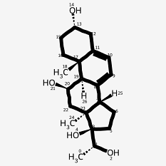 C[C@@H](O)[C@@]1(O)CC[C@H]2C3=CC=C4C[C@@H](O)CC[C@@]4(C)[C@@H]3[C@H](O)C[C@@]21C